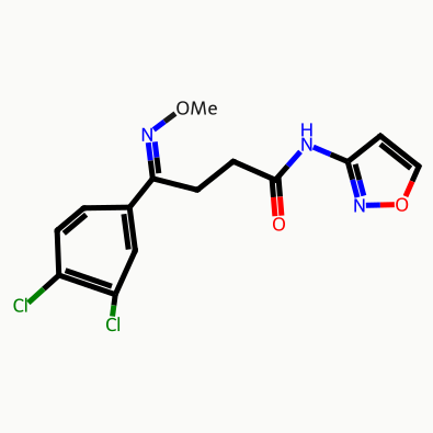 CON=C(CCC(=O)Nc1ccon1)c1ccc(Cl)c(Cl)c1